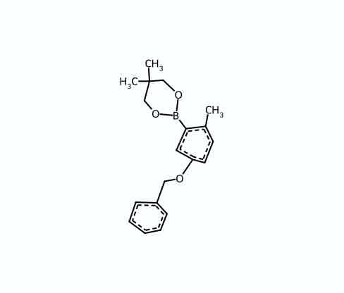 Cc1ccc(OCc2ccccc2)cc1B1OCC(C)(C)CO1